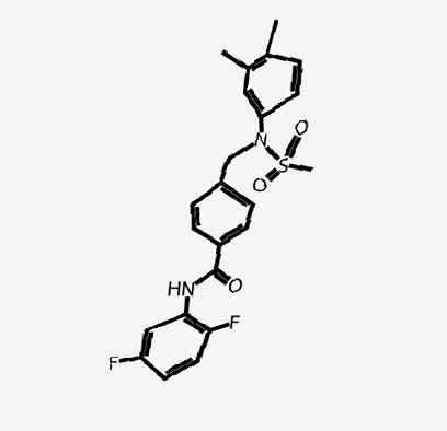 Cc1ccc(N(Cc2ccc(C(=O)Nc3cc(F)ccc3F)cc2)S(C)(=O)=O)cc1C